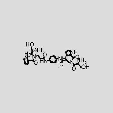 N[C@@H](CO)C(=O)N(CCC(=O)Nc1ccc(NC(=O)CCN(C(=O)c2ccc[nH]2)C(=O)[C@@H](N)CO)cc1)C(=O)c1ccc[nH]1